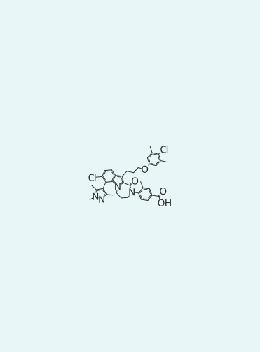 Cc1cc(C(=O)O)ccc1N1CCCn2c(c(CCCOc3cc(C)c(Cl)c(C)c3)c3ccc(Cl)c(-c4c(C)nn(C)c4C)c32)C1=O